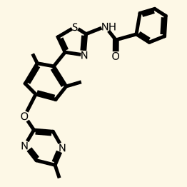 Cc1cnc(Oc2cc(C)c(-c3csc(NC(=O)c4ccccc4)n3)c(C)c2)cn1